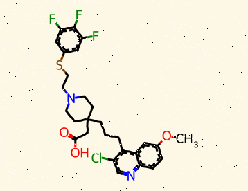 COc1ccc2ncc(Cl)c(CCCC3(CC(=O)O)CCN(CCSc4cc(F)c(F)c(F)c4)CC3)c2c1